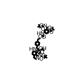 CC(C)S(=O)(=O)c1ccc(NC(=O)OCCc2ccc(C(Nc3ccc4ccnc(N(C(=O)OC(C)(C)C)C(=O)OC(C)(C)C)c4c3F)C(=O)O)cc2)cc1CN(C)C(=O)OC(C)(C)C